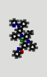 CC(C)(C)c1cc(N(Cc2ccccc2)c2ccc(-c3nc4ccccc4o3)cc2)c(Cl)c(N(Cc2ccccc2)c2ccc3c(c2)c2ccccc2n3-c2ccccn2)c1